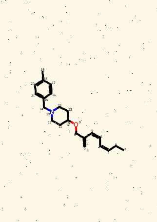 C=C(/C=C\C=C/CC)COC1CCN(Cc2ccc(C)cc2)CC1